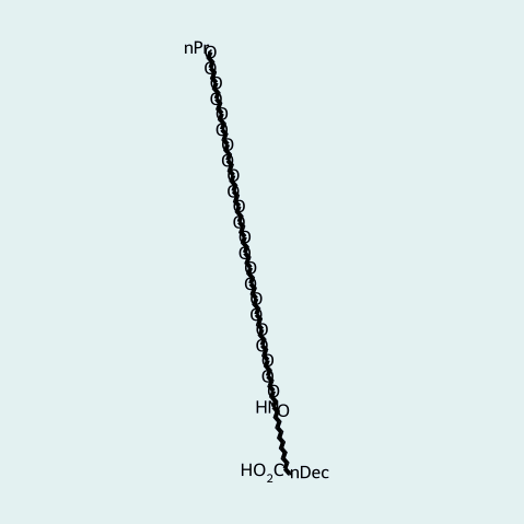 CCCCCCCCCCCC(CCCCCCCCCCC(=O)NCCOCCOCCOCCOCCOCCOCCOCCOCCOCCOCCOCCOCCOCCOCCOCCOCCOCCOCCOCCOCCOCCOCCOCCC)C(=O)O